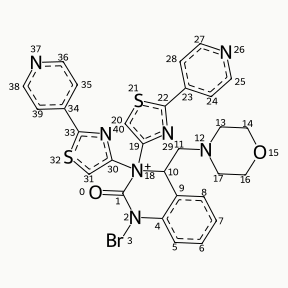 O=C1N(Br)c2ccccc2C(CN2CCOCC2)[N+]1(c1csc(-c2ccncc2)n1)c1csc(-c2ccncc2)n1